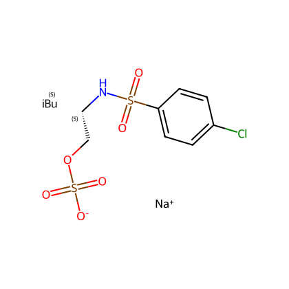 CC[C@H](C)[C@@H](COS(=O)(=O)[O-])NS(=O)(=O)c1ccc(Cl)cc1.[Na+]